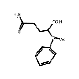 CC(=O)N(c1ccccc1)C(CCC(N)=O)C(=O)O